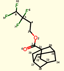 O=C(OCCC(F)(F)C(F)F)C12CC3CC(CC(C3)C1)C2